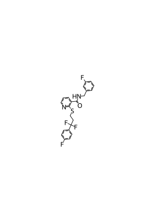 O=C(NCc1cccc(F)c1)c1cccnc1SCCC(F)(F)c1ccc(F)cc1